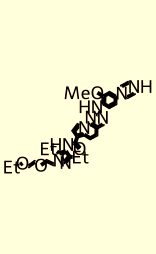 CCOCCOCCn1nc(CC)c(NC(=O)c2ccn3c2CCc2cnc(Nc4ccc(N5CCNCC5)cc4OC)nc2-3)c1CC